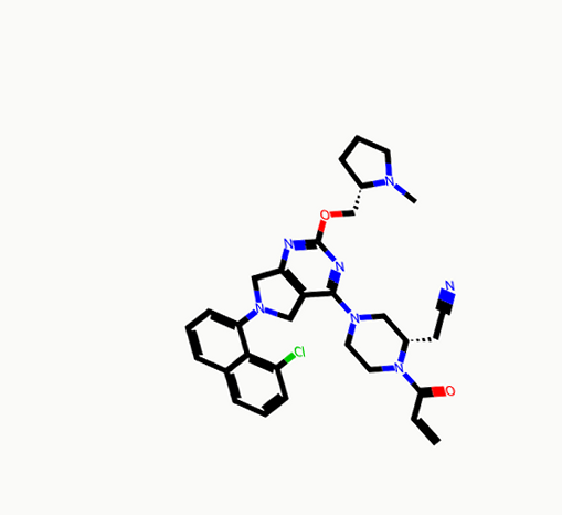 C=CC(=O)N1CCN(c2nc(OC[C@@H]3CCCN3C)nc3c2CN(c2cccc4cccc(Cl)c24)C3)C[C@@H]1CC#N